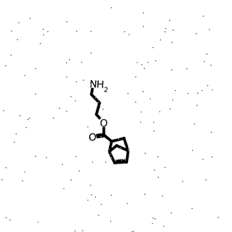 NCCCOC(=O)C1CC2C=CC1C2